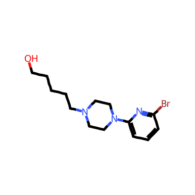 OCCCCCN1CCN(c2cccc(Br)n2)CC1